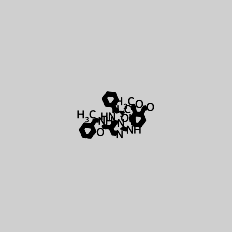 CC(NC(=O)c1cnc(Nc2ccc3c(c2)C(C)(C)OC3=O)nc1N[C@H](CO)c1ccccc1)c1ccccc1